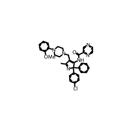 COc1ccccc1N1CCN(CC2=C(NC(=O)c3cnccn3)C(c3ccccc3)(c3ccc(Cl)cc3)N=C2C)CC1